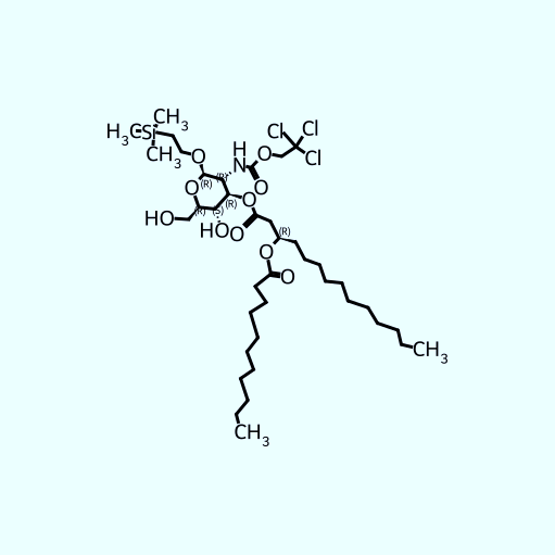 CCCCCCCCCCC[C@H](CC(=O)O[C@H]1[C@H](O)[C@@H](CO)O[C@@H](OCC[Si](C)(C)C)[C@@H]1NC(=O)OCC(Cl)(Cl)Cl)OC(=O)CCCCCCCCCC